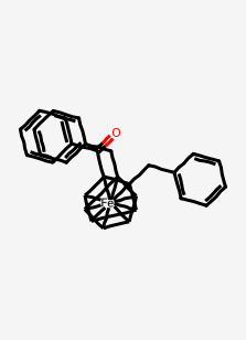 O=C(c1ccccc1)[C]12[CH]3[CH]4[CH]5[C]1(Cc1ccccc1)[Fe]45321678[CH]2[CH]1[CH]6[C]7(Cc1ccccc1)[CH]28